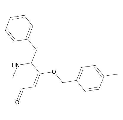 CNC(Cc1ccccc1)/C(=C\C=O)OCc1ccc(C)cc1